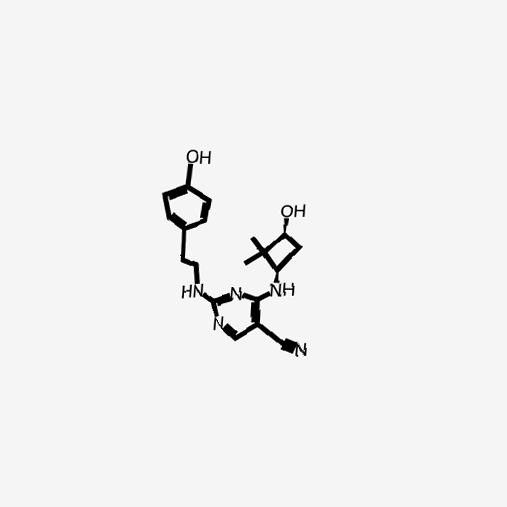 CC1(C)[C@@H](O)C[C@H]1Nc1nc(NCCc2ccc(O)cc2)ncc1C#N